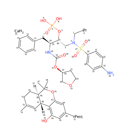 CC(C)CN(C[C@@H](OP(=O)(O)O)[C@H](Cc1ccccc1)NC(=O)O[C@H]1CCOC1)S(=O)(=O)c1ccc(N)cc1.CCCCCc1cc(O)c2c(c1)OC(C)(C)[C@@H]1CCC(C)=C[C@@H]21.[CaH2]